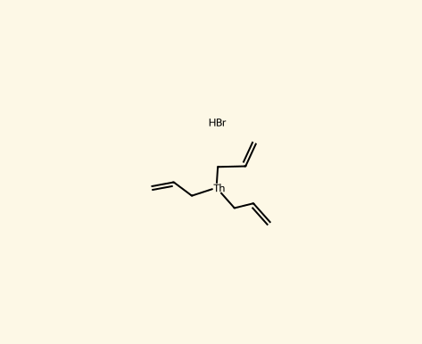 Br.C=C[CH2][Th]([CH2]C=C)[CH2]C=C